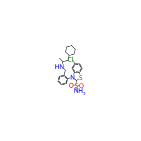 CC(CC1CCCCC1)NCc1ccccc1N1c2cc(Cl)ccc2SC1S(N)(=O)=O